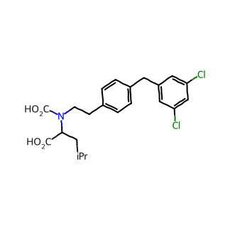 CC(C)CC(C(=O)O)N(CCc1ccc(Cc2cc(Cl)cc(Cl)c2)cc1)C(=O)O